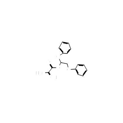 C=C(C)C(=O)OC(COc1ccccc1)Oc1ccccc1